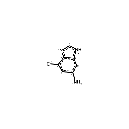 Nc1cc(Cl)c2nc[nH]c2c1